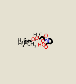 C=C(COCOCC[Si](C)(C)C)C(=O)C(=O)N1CCCCC1C(=O)O